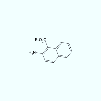 CCOC(=O)c1c(N)ccc2ccccc12